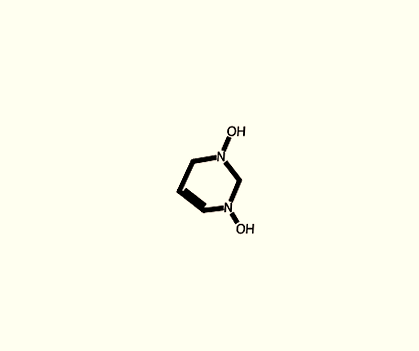 ON1C=CCN(O)C1